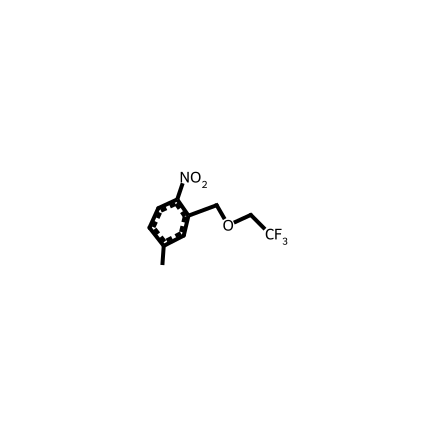 Cc1ccc([N+](=O)[O-])c(COCC(F)(F)F)c1